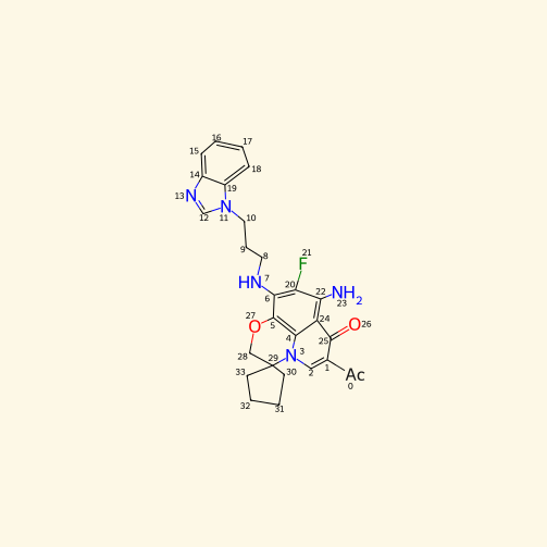 CC(=O)c1cn2c3c(c(NCCCn4cnc5ccccc54)c(F)c(N)c3c1=O)OCC21CCCC1